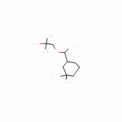 CC(OCC(C)(C)O)C1CCCC(C)(C)C1